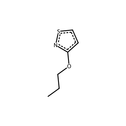 CCCOc1ccsn1